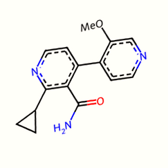 COc1cnccc1-c1ccnc(C2CC2)c1C(N)=O